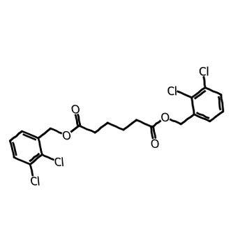 O=C(CCCCC(=O)OCc1cccc(Cl)c1Cl)OCc1cccc(Cl)c1Cl